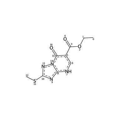 CCOC(=O)c1c[nH]c2nc(SC)nn2c1=O